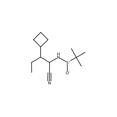 CCC(C1CCC1)C(C#N)N[S+]([O-])C(C)(C)C